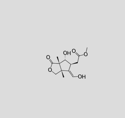 COC(=O)C[C@H]1/C(=C\O)[C@]2(C)COC(=O)[C@]2(C)[C@@H]1O